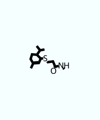 CNC(=O)CCSC1C=C(C)CCC1C(C)C